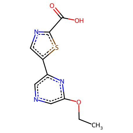 CCOc1cncc(-c2cnc(C(=O)O)s2)n1